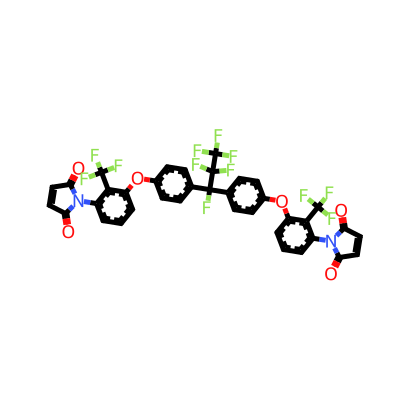 O=C1C=CC(=O)N1c1cccc(Oc2ccc(C(F)(c3ccc(Oc4cccc(N5C(=O)C=CC5=O)c4C(F)(F)F)cc3)C(F)(F)C(F)(F)F)cc2)c1C(F)(F)F